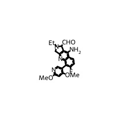 CCN1Cc2nc3c(-c4cnc(OC)cc4OC)c(F)ccc3c(N)c2C1C=O